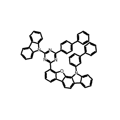 c1ccc(-c2ccc(-c3nc(-c4cccc5c4oc4c5ccc5c6ccccc6n(-c6cccc(-c7ccccc7)c6)c54)nc(-n4c5ccccc5c5ccccc54)n3)cc2)cc1